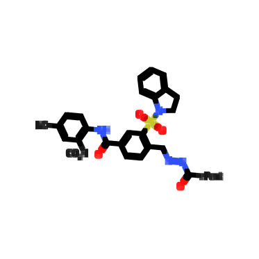 CCCCCC(=O)N=NCc1ccc(C(=O)Nc2ccc(C#N)cc2C(=O)O)cc1S(=O)(=O)N1CCc2ccccc21